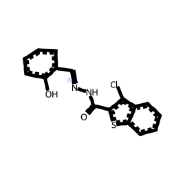 O=C(N/N=C/c1ccccc1O)c1sc2ccccc2c1Cl